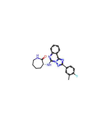 Cc1cc(-c2nc3c4ccccc4nc(N[C@@H]4CCCCNC4=O)n3n2)ccc1F